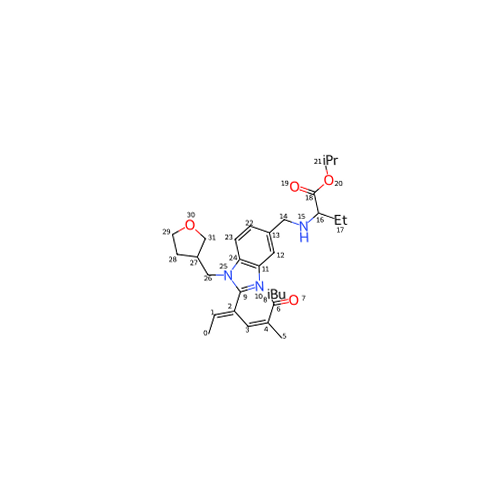 C/C=C(\C=C(\C)C(=O)C(C)CC)c1nc2cc(CNC(CC)C(=O)OC(C)C)ccc2n1CC1CCOC1